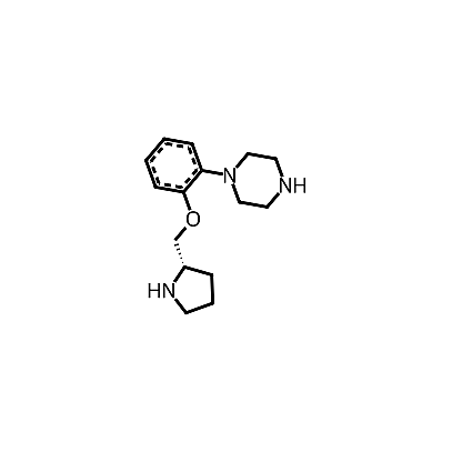 c1ccc(N2CCNCC2)c(OC[C@@H]2CCCN2)c1